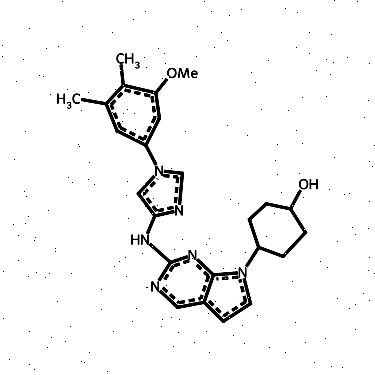 COc1cc(-n2cnc(Nc3ncc4ccn(C5CCC(O)CC5)c4n3)c2)cc(C)c1C